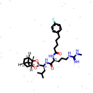 CNC(=N)NCCC[C@H](NC(=O)CCCCc1ccc(F)cc1)C(=O)N[C@@H](CC(C)C)B1O[C@@H]2C[C@@H]3C[C@@H](C3(C)C)[C@]2(C)O1